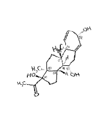 CC(=O)[C@@]1(O)CC[C@H]2[C@@H]3[C@@H](O)CC4=C[C@@H](O)C=C[C@]4(C)[C@H]3CC[C@@]21C